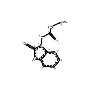 CCCCCCNC(=O)On1c(=O)oc2cccnc21